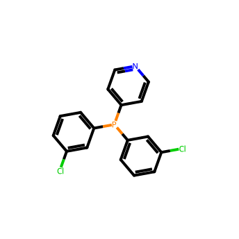 Clc1cccc(P(c2ccncc2)c2cccc(Cl)c2)c1